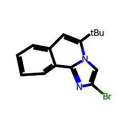 CC(C)(C)c1cc2ccccc2c2nc(Br)cn12